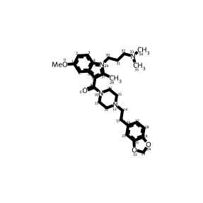 COc1ccc2c(c1)c(C(=O)N1CCN(CCc3ccc4c(c3)OCO4)CC1)c(C)n2CCCN(C)C